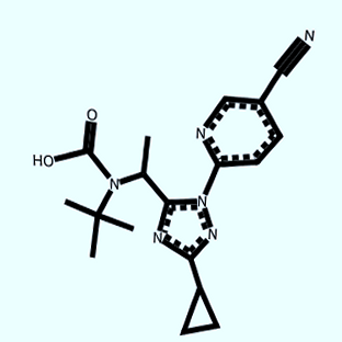 CC(c1nc(C2CC2)nn1-c1ccc(C#N)cn1)N(C(=O)O)C(C)(C)C